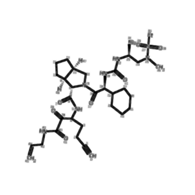 C#CCCC(NC(=O)[C@@H]1[C@H]2CCC[C@H]2CN1C(=O)[C@@H](NC(=O)N[C@H](CN(C)S(=O)(=O)CC)C(C)(C)C)C1CCCCC1)C(=O)C(=O)NCC=C